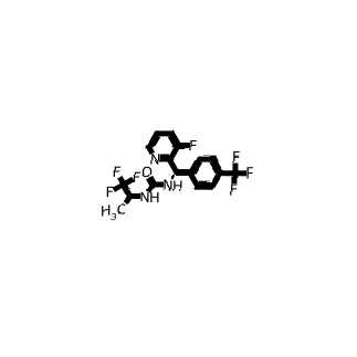 CC(NC(=O)N[C@@H](c1ccc(C(F)(F)F)cc1)c1ncccc1F)C(F)(F)F